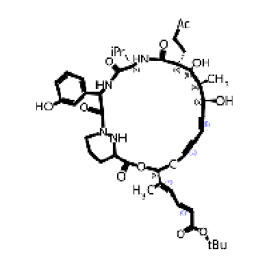 CC(=O)CC[C@H]1C(=O)N[C@@H](C(C)C)C(=O)NC(c2cccc(O)c2)C(=O)N2CCCC(N2)C(=O)O[C@H](/C(C)=C/C=C/C(=O)OC(C)(C)C)C/C=C/C=C/[C@H](O)[C@H](C)[C@H]1O